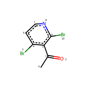 CC(=O)c1c(Br)ccnc1Br